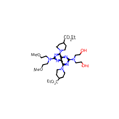 CCOC(=O)C1CCN(c2nc(N(CCOC)CCOC)nc3c(N4CCC(C(=O)OCC)CC4)nc(N(CCO)CCO)nc23)CC1